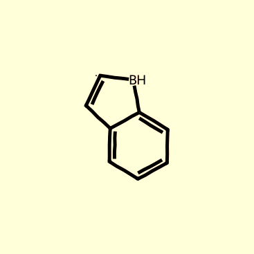 B1[C]=Cc2ccccc21